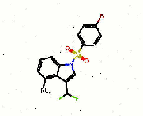 O=[N+]([O-])c1cccc2c1c(C(F)F)cn2S(=O)(=O)c1ccc(Br)cc1